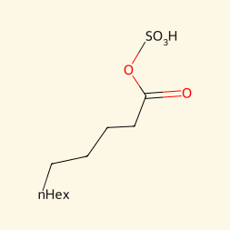 CCCCCCCCCCC(=O)OS(=O)(=O)O